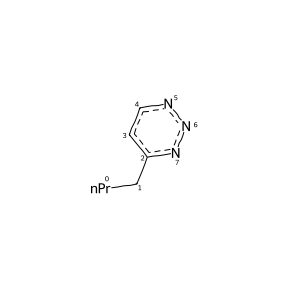 CCCCc1ccnnn1